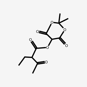 CCC(C(C)=O)C(=O)OC1C(=O)OC(C)(C)OC1=O